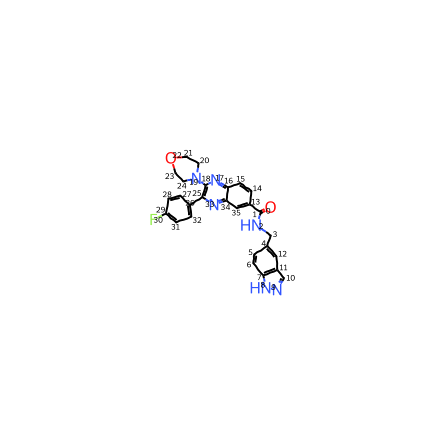 O=C(NCc1ccc2[nH]ncc2c1)c1ccc2nc(N3CCOCC3)c(-c3ccc(F)cc3)nc2c1